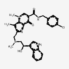 Cc1c(CN(C)CC(O)c2c[nH]c3ccccc23)sc2c(=O)c(C(=O)NCc3ccc(Cl)cc3)cn(C)c12